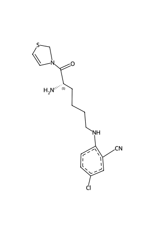 N#Cc1cc(Cl)ccc1NCCCC[C@H](N)C(=O)N1C=CSC1